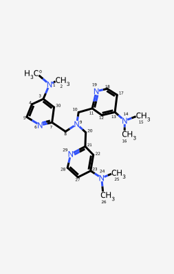 CN(C)c1ccnc(CN(Cc2cc(N(C)C)ccn2)Cc2cc(N(C)C)ccn2)c1